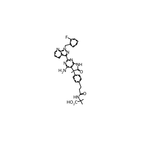 CC(C)(NC(=O)CCc1ccc([C@@]2(C)C(=O)Nc3nc(-c4nn(Cc5ccccc5F)c5ncccc45)nc(N)c32)cc1)C(=O)O